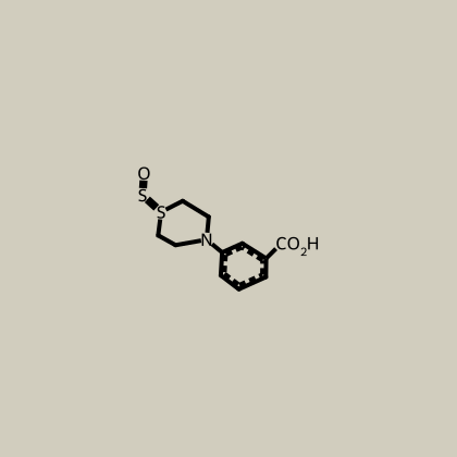 O=S=S1CCN(c2cccc(C(=O)O)c2)CC1